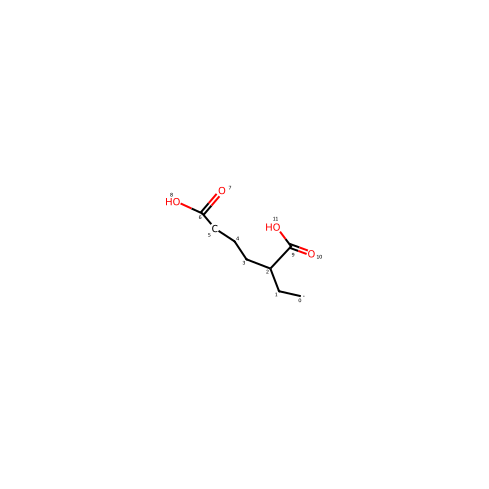 [CH2]CC(CCCC(=O)O)C(=O)O